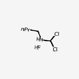 CCCCNC(Cl)Cl.F